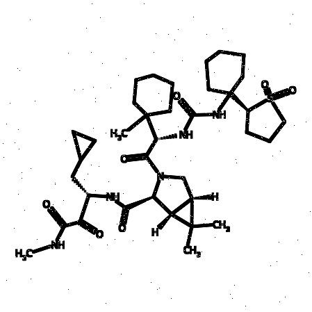 CNC(=O)C(=O)[C@H](CC1CC1)NC(=O)[C@@H]1[C@@H]2[C@H](CN1C(=O)[C@@H](NC(=O)NC1([C@@H]3CCCS3(=O)=O)CCCCC1)C1(C)CCCCC1)C2(C)C